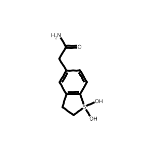 NC(=O)Cc1ccc2c(c1)CCS2(O)O